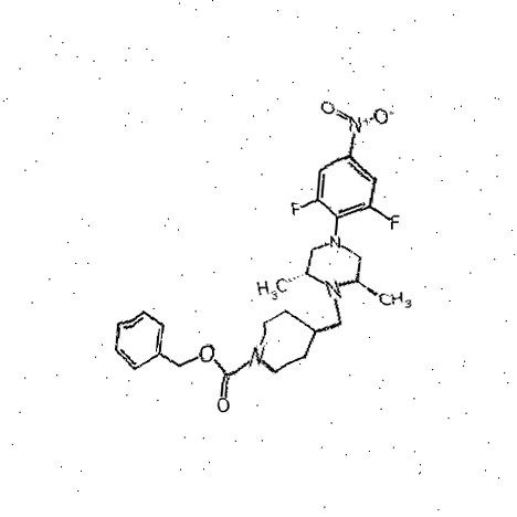 C[C@@H]1CN(c2c(F)cc([N+](=O)[O-])cc2F)C[C@@H](C)N1CC1CCN(C(=O)OCc2ccccc2)CC1